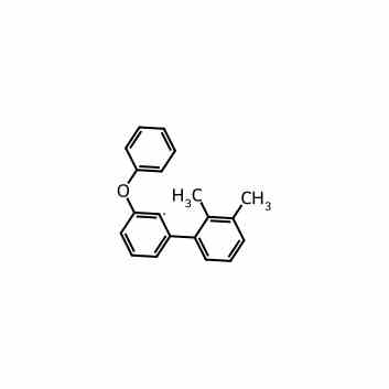 Cc1cccc(-c2[c]c(Oc3ccccc3)ccc2)c1C